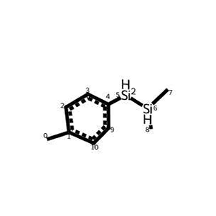 Cc1ccc([SiH2][SiH](C)C)cc1